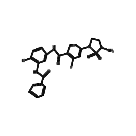 NN1CCN(c2ccc(C(=O)Nc3ccc(Cl)c(NC(=O)c4ccccc4)c3)c(F)c2)S1(=O)=O